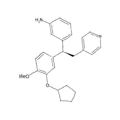 COc1ccc([C@H](Cc2ccncc2)c2cccc(N)c2)cc1OC1CCCC1